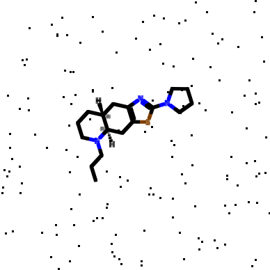 CCCN1CCC[C@@H]2Cc3nc(N4CCCC4)sc3C[C@H]21